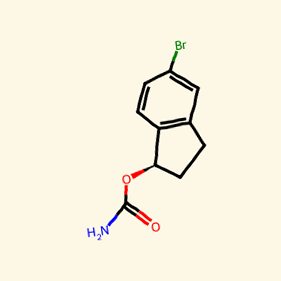 NC(=O)O[C@@H]1CCc2cc(Br)ccc21